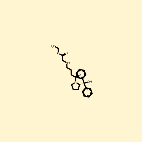 CCOC(=O)CNCCCC(=O)N1CCC[C@H]1C(O)(c1ccccc1)c1ccccc1